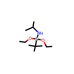 CCO[Si](NC(C)C)(OCC)C(C)(C)C